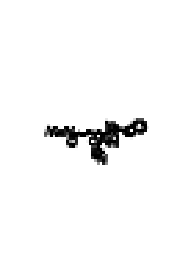 CNC(=O)CCCCCC(NC(=O)c1cncs1)c1ncc(-c2ccc3ccccc3c2)[nH]1